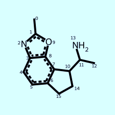 Cc1nc2ccc3c(c2o1)C(C(C)N)CC3